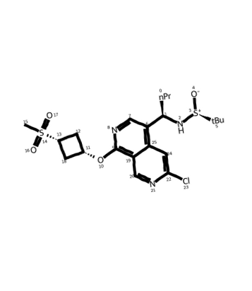 CCC[C@@H](N[S@@+]([O-])C(C)(C)C)c1cnc(O[C@H]2C[C@@H](S(C)(=O)=O)C2)c2cnc(Cl)cc12